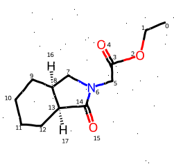 CCOC(=O)CN1C[C@@H]2CCCC[C@@H]2C1=O